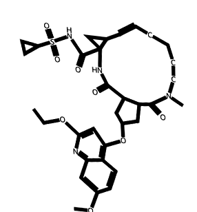 CCOc1cc(OC2CC3C(=O)NC4(C(=O)NS(=O)(=O)C5CC5)CC4/C=C/CCCCN(C)C(=O)C3C2)c2ccc(OC)cc2n1